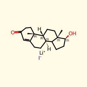 C[C@]12CCC(=O)C=C1CC[C@@H]1C3CC[C@H](O)[C@@]3(C)CC[C@H]12.[I-].[Li+]